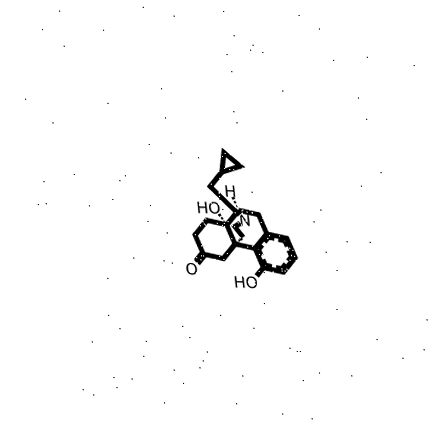 O=C1CC[C@@]2(O)[C@H]3Cc4cccc(O)c4[C@@]2(CCN3CC2CC2)C1